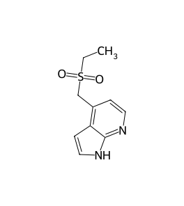 CCS(=O)(=O)Cc1ccnc2[nH]ccc12